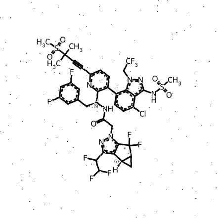 CC(C)(C#Cc1ccc(-c2ccc(Cl)c3c(NS(C)(=O)=O)nn(CC(F)(F)F)c23)c([C@H](Cc2cc(F)cc(F)c2)NC(=O)Cn2nc(C(F)C(F)F)c3c2C(F)(F)C2C[C@H]32)n1)S(C)(=O)=O